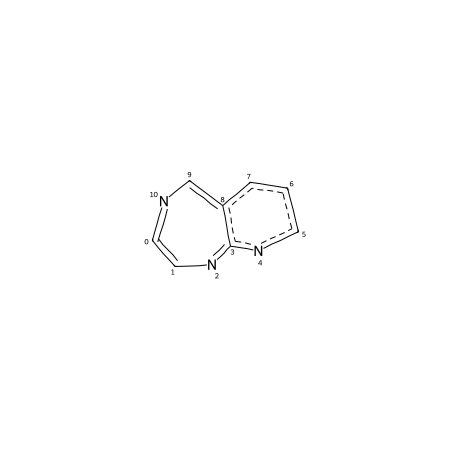 C1=CN=c2ncccc2=CN=1